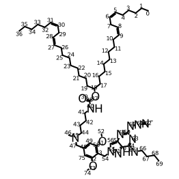 CCCCC/C=C\C/C=C\CCCCCCCCC(CCCCCCCC/C=C\C/C=C\CCCCC)OC(=O)NCCCCN(C)Cc1cc(OC)c(Cn2cc3nc(N=[N+]=[N-])nc(NCCCC)c3n2)c(OC)c1